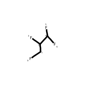 F[CH]C(F)C(F)F